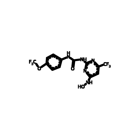 O=C(Nc1ccc(OC(F)(F)F)cc1)Nc1nc(NO)cc(C(F)(F)F)n1